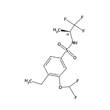 CCc1ccc(S(=O)(=O)N[C@@H](C)C(F)(F)F)cc1OC(F)F